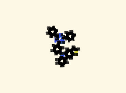 c1ccc(-c2nc(-c3ccccc3)nc(-c3cccc(-n4c5ccccc5c5cc6sccc6cc54)c3)n2)cc1